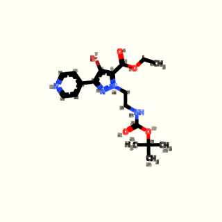 CCOC(=O)c1c(Br)c(-c2ccncc2)nn1CCNC(=O)OC(C)(C)C